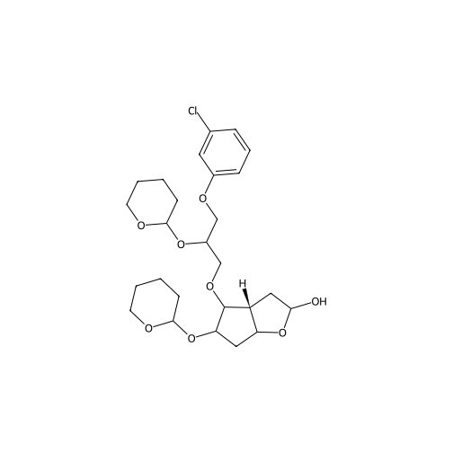 OC1C[C@@H]2C(CC(OC3CCCCO3)C2OCC(COc2cccc(Cl)c2)OC2CCCCO2)O1